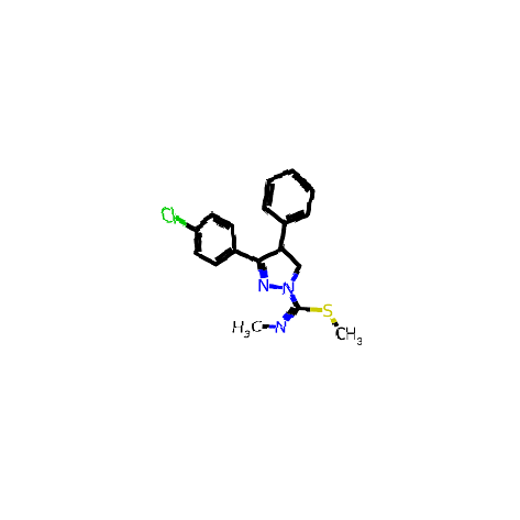 C/N=C(/SC)N1CC(c2ccccc2)C(c2ccc(Cl)cc2)=N1